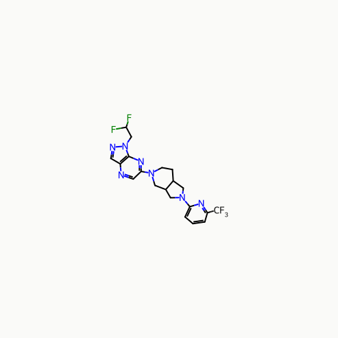 FC(F)Cn1ncc2ncc(N3CCC4CN(c5cccc(C(F)(F)F)n5)CC4C3)nc21